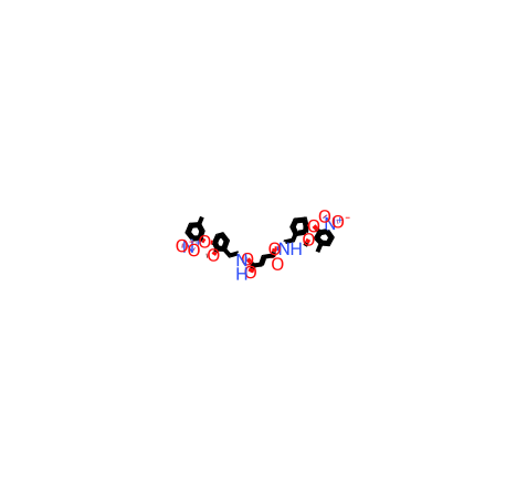 COc1c(CCNOC(=O)/C=C/C(=O)ONCCc2cccc(Oc3cc(C)ccc3[N+](=O)[O-])c2OC)cccc1Oc1cc(C)ccc1[N+](=O)[O-]